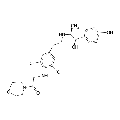 C[C@H](NCCc1cc(Cl)c(NCC(=O)N2CCOCC2)c(Cl)c1)[C@H](O)c1ccc(O)cc1